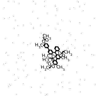 C=CC(=O)Oc1ccc(-c2cc(C)c(OC(=O)C=C)c(C(c3ccccc3)c3cc(-c4ccc(OC(=O)C=C)c(C)c4)cc(C)c3OC(=O)C=C)c2)cc1C